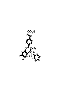 Cc1cc(OCc2ccc(C=CC(=O)O)cc2)c(N(CC(C)C)S(=O)(=O)c2cccnc2)cc1C